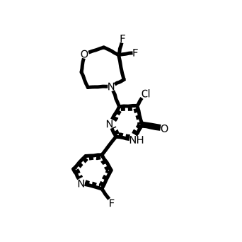 O=c1[nH]c(-c2ccnc(F)c2)nc(N2CCOCC(F)(F)C2)c1Cl